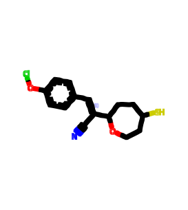 N#C/C(=C\c1ccc(OCl)cc1)C1CCC(S)CCO1